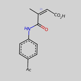 CC(=O)c1ccc(NC(=O)/C(C)=C\C(=O)O)cc1